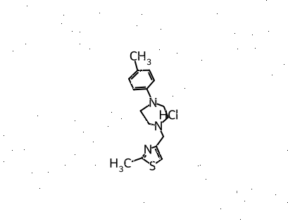 Cc1ccc(N2CCN(Cc3csc(C)n3)CC2)cc1.Cl